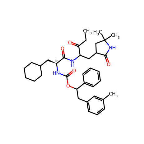 CCC(=O)C(CC1CC(C)(C)NC1=O)NC(=O)[C@H](CC1CCCCC1)NC(=O)OC(Cc1cccc(C)c1)c1ccccc1